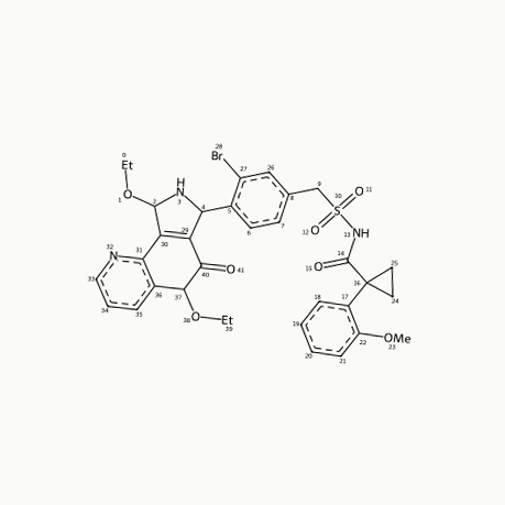 CCOC1NC(c2ccc(CS(=O)(=O)NC(=O)C3(c4ccccc4OC)CC3)cc2Br)C2=C1c1ncccc1C(OCC)C2=O